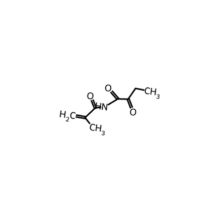 C=C(C)C(=O)NC(=O)C(=O)CC